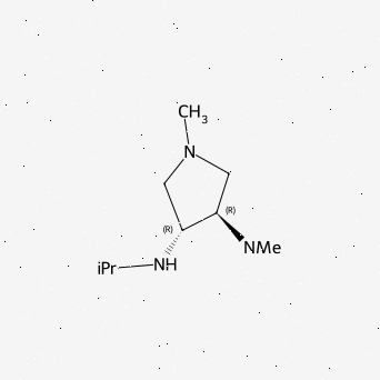 CN[C@@H]1CN(C)C[C@H]1NC(C)C